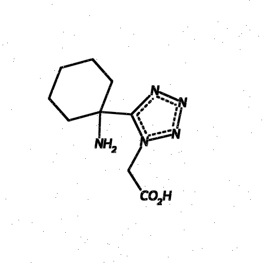 NC1(c2nnnn2CC(=O)O)CCCCC1